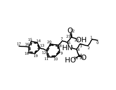 CCCCC(NC(Cc1cccc(-c2ccc(C)cc2)c1)C(=O)O)C(=O)O